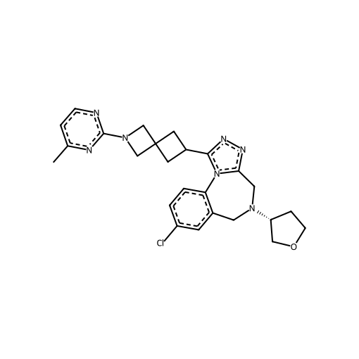 Cc1ccnc(N2CC3(CC(c4nnc5n4-c4ccc(Cl)cc4CN([C@@H]4CCOC4)C5)C3)C2)n1